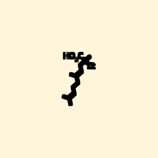 CCC(C)(C/C=C(\C)CCC=C(C)C)C(=O)O